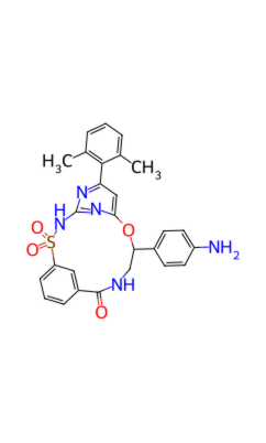 Cc1cccc(C)c1-c1cc2nc(n1)NS(=O)(=O)c1cccc(c1)C(=O)NCC(c1ccc(N)cc1)O2